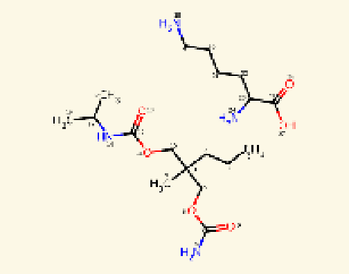 CCCC(C)(COC(N)=O)COC(=O)NC(C)C.NCCCCC(N)C(=O)O